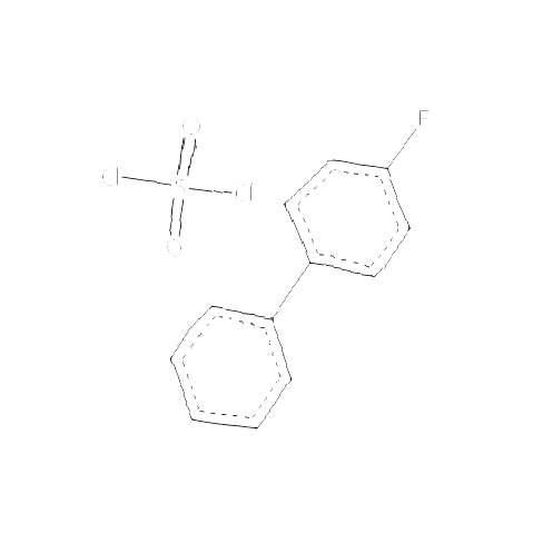 Fc1ccc(-c2ccccc2)cc1.O=S(=O)(Cl)Cl